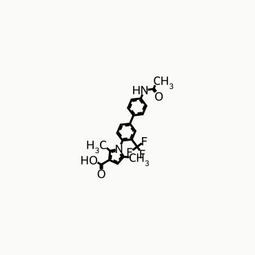 CC(=O)Nc1ccc(-c2ccc(-n3c(C)cc(C(=O)O)c3C)c(C(F)(F)F)c2)cc1